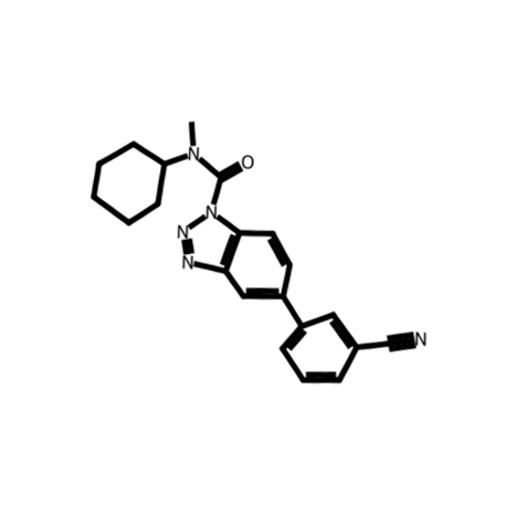 CN(C(=O)n1nnc2cc(-c3cccc(C#N)c3)ccc21)C1CCCCC1